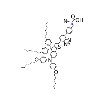 CCCCCCOc1ccc(N(c2ccc(OCCCCCC)cc2)c2ccc3c(c2)C(c2ccc(CCCCCC)cc2)(c2ccc(CCCCCC)cc2)c2cc(-c4ccc(-c5ccc(/C=C(\C#N)C(=O)O)cc5)c5nsnc45)sc2-3)cc1